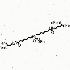 CCCCCC(CCCCC)CCCNC(=O)CCCCCCCN(CCCCCCCC(=O)NCCCC(CCCCC)CCCCC)C(=O)OC(C)(C)C